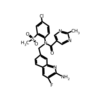 Cc1ncc(C(=O)N(Cc2ccc3cc(F)c(N)nc3c2)c2ccc(Cl)cc2S(C)(=O)=O)cn1